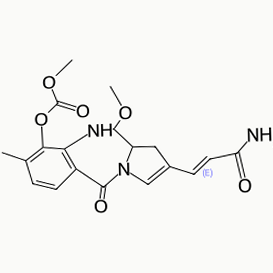 COC(=O)Oc1c(C)ccc2c1NC(OC)C1CC(/C=C/C(N)=O)=CN1C2=O